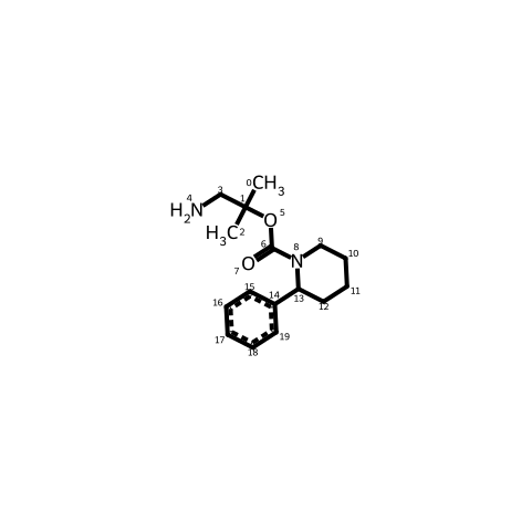 CC(C)(CN)OC(=O)N1CCCCC1c1ccccc1